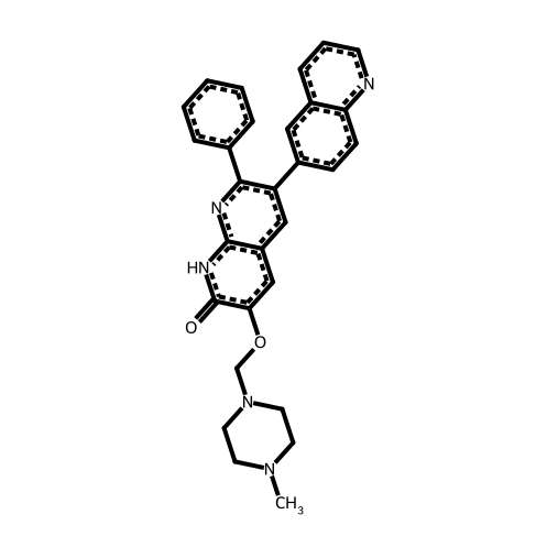 CN1CCN(COc2cc3cc(-c4ccc5ncccc5c4)c(-c4ccccc4)nc3[nH]c2=O)CC1